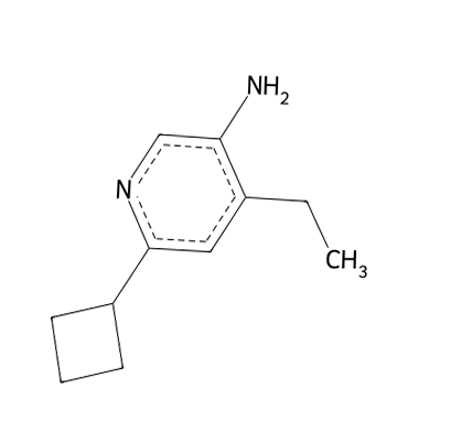 CCc1cc(C2CCC2)ncc1N